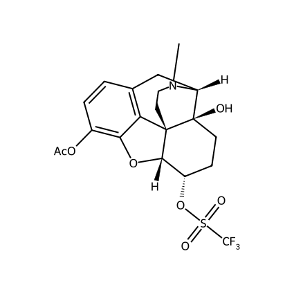 CC(=O)Oc1ccc2c3c1O[C@H]1[C@@H](OS(=O)(=O)C(F)(F)F)CC[C@@]4(O)[C@@H](C2)N(C)CC[C@]314